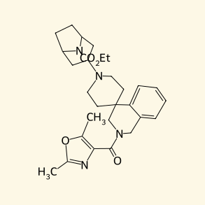 CCOC(=O)N1C2CCC1CC(N1CCC3(CC1)CN(C(=O)c1nc(C)oc1C)Cc1ccccc13)C2